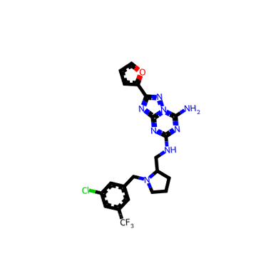 Nc1nc(NCC2CCCN2Cc2cc(Cl)cc(C(F)(F)F)c2)nc2nc(-c3ccco3)nn12